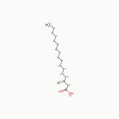 CCCCCCCCCCCCCCC(Br)CC(=O)O